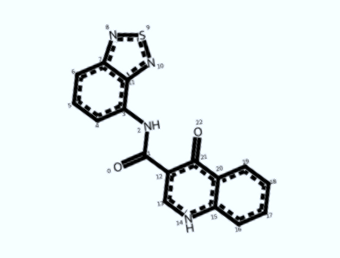 O=C(Nc1cccc2nsnc12)c1c[nH]c2ccccc2c1=O